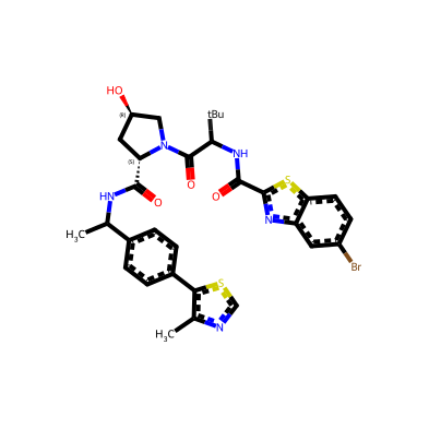 Cc1ncsc1-c1ccc(C(C)NC(=O)[C@@H]2C[C@@H](O)CN2C(=O)C(NC(=O)c2nc3cc(Br)ccc3s2)C(C)(C)C)cc1